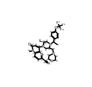 CC(c1ccc(OC(F)(F)F)cc1)N1C[C@H](C)N(c2cc(=O)n(C)c3ccc(C#N)nc23)CC1CN1CCOCC1